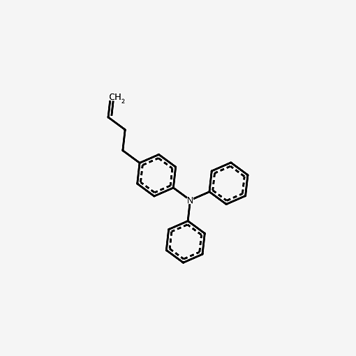 C=CCCc1ccc(N(c2ccccc2)c2ccccc2)cc1